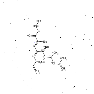 C=CCC=C(/C=C(/C(=O)CNCC)C(C)CC)C(=N)C(C)C(C)NC(=C)N